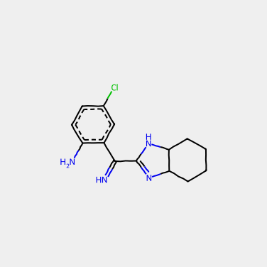 N=C(C1=NC2CCCCC2N1)c1cc(Cl)ccc1N